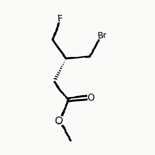 COC(=O)C[C@H](CF)CBr